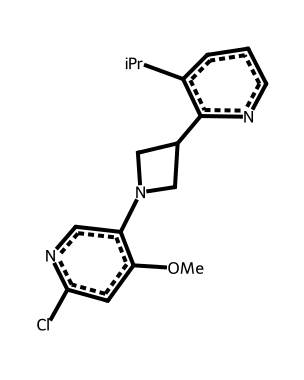 COc1cc(Cl)ncc1N1CC(c2ncccc2C(C)C)C1